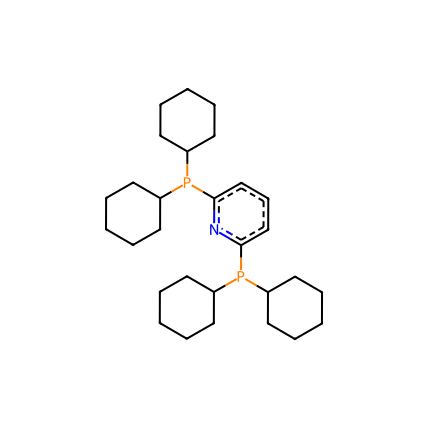 c1cc(P(C2CCCCC2)C2CCCCC2)nc(P(C2CCCCC2)C2CCCCC2)c1